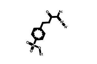 CCOS(=O)(=O)c1ccc(CCC(=O)C(=[N+]=[N-])C(C)=O)cc1